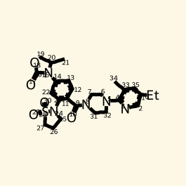 CCc1cnc(N2CCN(C(=O)c3ccc(N4C(=O)OCC4C)cc3N3CCCS3(=O)=O)CC2)c(C)c1